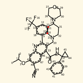 CC(C)Oc1cc2nc(-c3cccc(C(F)(F)F)c3)c(CN3CCC(N4CCOCC4)CC3)c(C(=O)NC3(c4ccccc4)CC3)c2cc1C#N